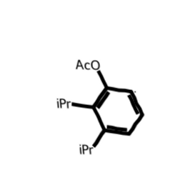 CC(=O)Oc1[c]ccc(C(C)C)c1C(C)C